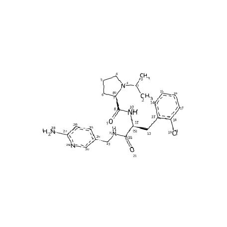 CC(C)N1CCC[C@@H]1C(=O)N[C@@H](Cc1ccccc1Cl)C(=O)NCc1ccc(N)nc1